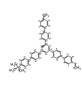 C=Cc1ccc(-c2ccc(-c3cc(-c4ccc(-c5ccc(C)cc5)cc4)nc(-c4ccc(-c5ccc(C(C)(C)C)cc5)cc4)c3)cc2)cc1